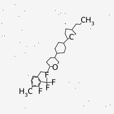 CCCC1CCC(C2CCC(C3CCC(CCc4ccc(C)c(F)c4C(F)(F)F)OC3)CC2)CC1